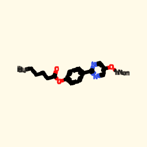 CCCCCCCCCOc1cnc(-c2ccc(OC(=O)CCCCC(C)CC)cc2)nc1